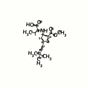 CC[C@H](Nc1cc(C#CC(C)(C)C)sc1C(=O)OC)C(=O)O